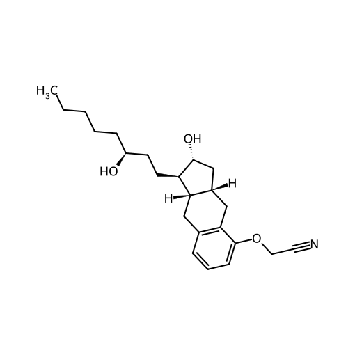 CCCCC[C@H](O)CC[C@@H]1[C@H]2Cc3cccc(OCC#N)c3C[C@H]2C[C@H]1O